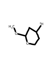 [2H]C1CCOC(OC)C1